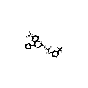 O=C(Nc1cccc(C(F)(F)F)c1)ONC1=Nc2ccc([N+](=O)[O-])cc2C(c2ccccc2)=NC1